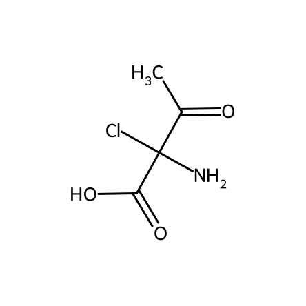 CC(=O)C(N)(Cl)C(=O)O